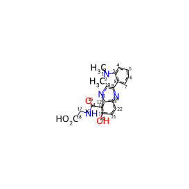 CN(C)c1ccccc1-c1cnc2c(C(=O)NCC(=O)O)c(O)ccc2n1